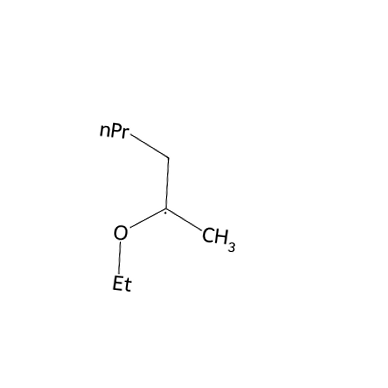 CCCC[C](C)OCC